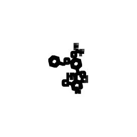 O=C(Nc1c(Cl)cncc1Cl)c1ccc(OC(F)F)c(OCc2ccccc2)c1